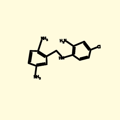 Nc1ccc(N)c(CNc2ccc(Cl)cc2N)c1